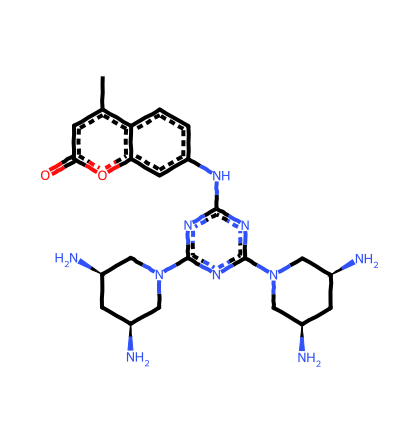 Cc1cc(=O)oc2cc(Nc3nc(N4C[C@H](N)C[C@H](N)C4)nc(N4C[C@H](N)C[C@H](N)C4)n3)ccc12